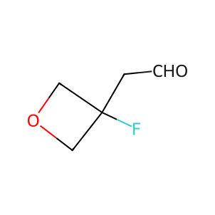 O=CCC1(F)COC1